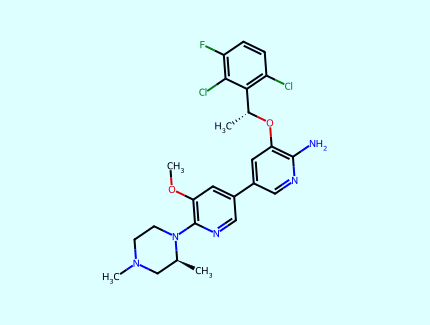 COc1cc(-c2cnc(N)c(O[C@H](C)c3c(Cl)ccc(F)c3Cl)c2)cnc1N1CCN(C)C[C@@H]1C